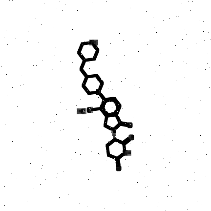 Cl.O=C1CC[C@H](N2Cc3c(ccc(N4CCC(CC5CCNCC5)CC4)c3Cl)C2=O)C(=O)N1